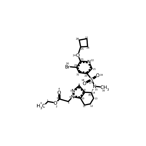 CCOC(=O)Cn1ncc2c1CCC[C@H]2N(C)S(=O)(=O)c1cnc(OC2CCC2)c(Br)c1